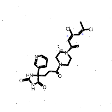 C=C(/C=C(Cl)\C=C(/C)Cl)N1CCN(C(=O)CCC2(c3cccnc3)NC(=O)NC2=O)C[C@@H]1C